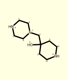 OC1(CN2CCNCC2)CCNCC1